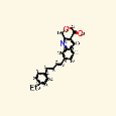 CCc1ccc(CCC=Cc2ccc3cc4c(nc3c2)COCC4=O)cc1